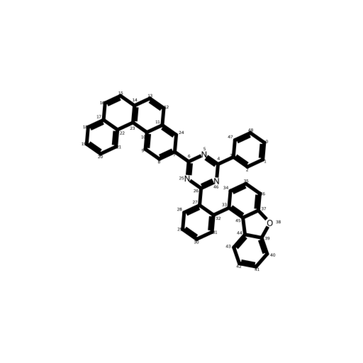 c1ccc(-c2nc(-c3ccc4c(ccc5ccc6ccccc6c54)c3)nc(-c3ccccc3-c3cccc4oc5ccccc5c34)n2)cc1